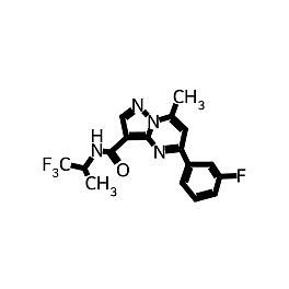 Cc1cc(-c2cccc(F)c2)nc2c(C(=O)NC(C)C(F)(F)F)cnn12